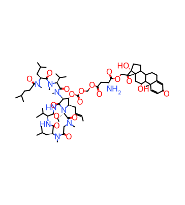 C/C=C/C[C@@H]1[C@@H](OC(=O)OCOC(=O)C[C@@H](N)C(=O)OCC(=O)[C@@]2(O)CCC3C4CCC5=CC(=O)C=C[C@]5(C)C4[C@@H](O)C[C@@]32C)[C@H](N(C)C(=O)[C@H](C(C)C)N(C)C(=O)[C@H](CC(C)C)N(C)C(=O)CCC(C)C)C(=O)N1[C@@H](CC)C(=O)N(C)CC(=O)N(C)[C@@H](CC(C)C)C(=O)N[C@H](C(=O)NC)C(C)C